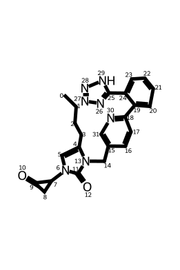 CCCCc1cn(C2CC2=O)c(=O)n1Cc1ccc(-c2ccccc2-c2nnn[nH]2)nc1